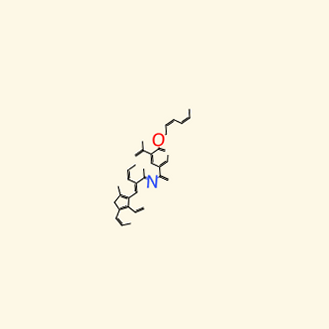 C=CC1=C(/C=C\C)CC(C)=C1/C=C(\C=C/C)C(/C)=N/C(=C)C(/C=C(/C(=C)C)C(=C)OC/C=C\C=C/C)=C/C